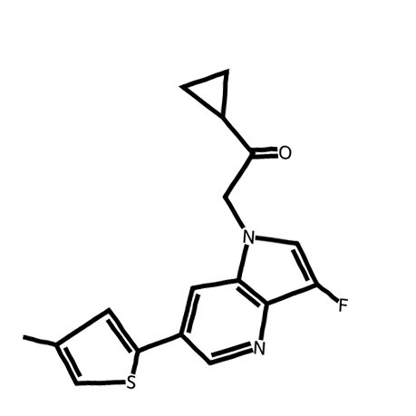 Cc1csc(-c2cnc3c(F)cn(CC(=O)C4CC4)c3c2)c1